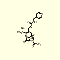 O=C(NCc1ccncc1)OCC1=C(C(=O)O)N2C(=O)[C@@H]3[C@H]2[C@H](C1)CN3C(=O)C(F)(F)F.[NaH]